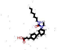 CCCCCCCNC(=O)N(CC)c1cccc(-c2ccc(CCC(=O)O)cc2)c1